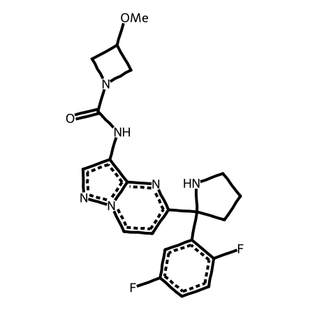 COC1CN(C(=O)Nc2cnn3ccc(C4(c5cc(F)ccc5F)CCCN4)nc23)C1